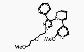 COCCOCCn1cc(N2CC=CC=C2c2ccnc(OC)c2)c(-c2ccccn2)n1